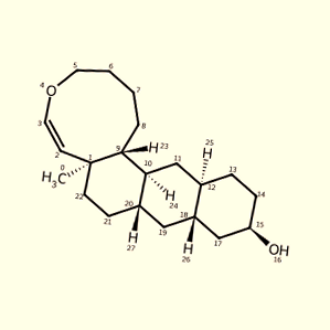 C[C@]12/C=C\OCCCC[C@@H]1[C@H]1C[C@H]3CC[C@@H](O)C[C@@H]3C[C@@H]1CC2